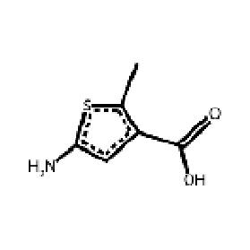 Cc1sc(N)cc1C(=O)O